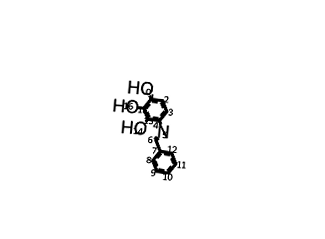 Oc1ccc(N=Cc2ccccc2)c(O)c1O